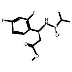 COC(=O)C[C@H](N[S@+]([O-])C(C)C)c1ccc(F)cc1F